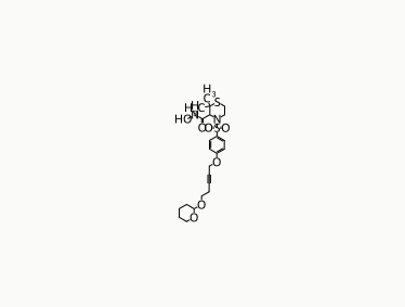 CC1(C)SCCN(S(=O)(=O)c2ccc(OCC#CCCOC3CCCCO3)cc2)C1C(=O)NO